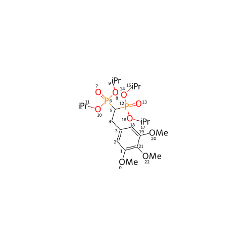 COc1cc(CC(P(=O)(OC(C)C)OC(C)C)P(=O)(OC(C)C)OC(C)C)cc(OC)c1OC